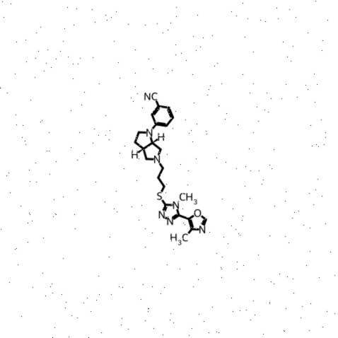 Cc1ncoc1-c1nnc(SCCCN2C[C@@H]3CCN(c4cccc(C#N)c4)[C@@H]3C2)n1C